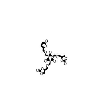 O=C1CCC(COCn2c(=O)n(COCC3COC(=O)O3)c(=O)n(COCC3COC(=O)O3)c2=O)O1